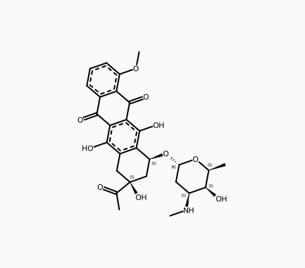 CN[C@H]1C[C@H](O[C@H]2C[C@](O)(C(C)=O)Cc3c(O)c4c(c(O)c32)C(=O)c2c(OC)cccc2C4=O)O[C@@H](C)[C@H]1O